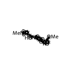 CNS(=O)(=O)c1cccc(OC[C@@H](O)CN[C@H]2COC3(CCN(S(=O)(=O)c4cnc5c(c4)N(CCOC)CCO5)CC3)C2)c1